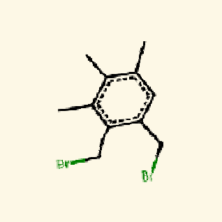 Cc1cc(CBr)c(CBr)c(C)c1C